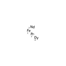 [Dy].[Fe].[Nd].[Pr]